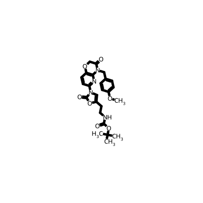 COc1ccc(CN2C(=O)COc3ccc(-n4cc(CCNC(=O)OC(C)(C)C)oc4=O)nc32)cc1